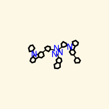 c1ccc(-c2ccc3c(c2)c2ccccc2n3-c2cccc(-c3nc(-c4cccc(-c5ccc6c7ccccc7n(-c7ccccc7)c6c5)c4)nc(-c4ccc5ccccc5c4)n3)c2)cc1